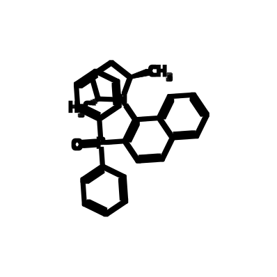 C[C@@H]1CC[C@@H](C)N1c1c(P(=O)(c2ccccc2)c2ccccc2)ccc2ccccc12